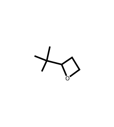 CC(C)(C)C1CCO1